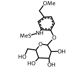 COCc1ccc(OC2OC(CO)C(O)C(O)C2O)c(NSC)c1